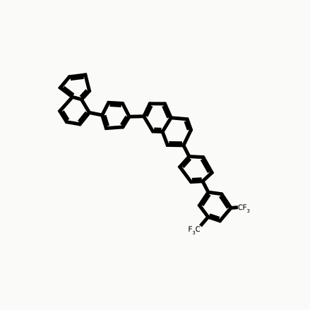 FC(F)(F)c1cc(-c2ccc(-c3ccc4ccc(-c5ccc(-c6cccc7ccccc67)cc5)cc4c3)cc2)cc(C(F)(F)F)c1